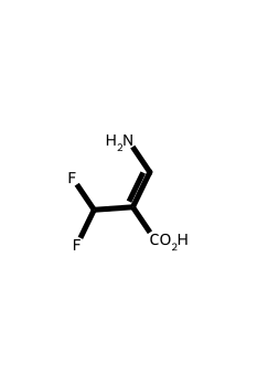 NC=C(C(=O)O)C(F)F